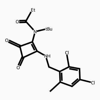 CCC(=O)N(c1c(NCc2c(C)cc(Cl)cc2Cl)c(=O)c1=O)C(C)(C)C